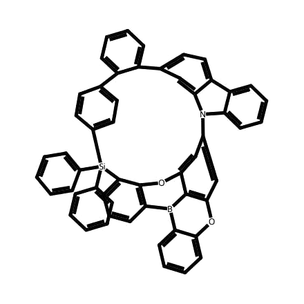 c1ccc([Si]2(c3ccccc3)c3ccc(cc3)-c3ccccc3-c3ccc4c5ccccc5n(c4c3)-c3cc4c5c(c3)Oc3c(cccc32)B5c2ccccc2O4)cc1